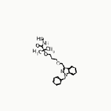 CC(C)(OCCCOCc1nn(Cc2ccccc2)c2ccccc12)C(=O)NO